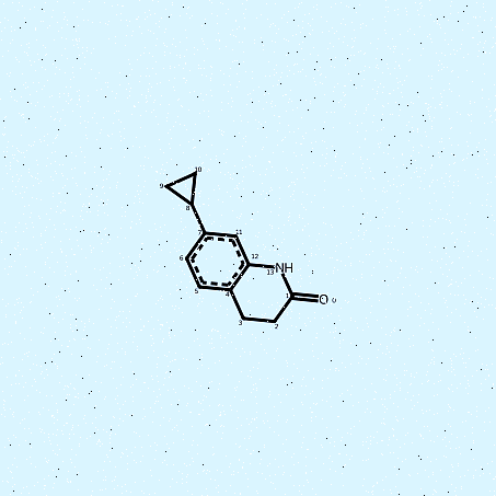 O=C1CCc2ccc(C3CC3)cc2N1